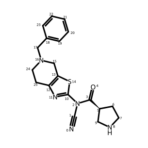 N#CN(C(=O)[C@H]1CCNC1)c1nc2c(s1)CN(Cc1ccccc1)CC2